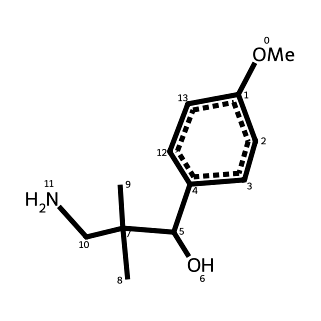 COc1ccc(C(O)C(C)(C)CN)cc1